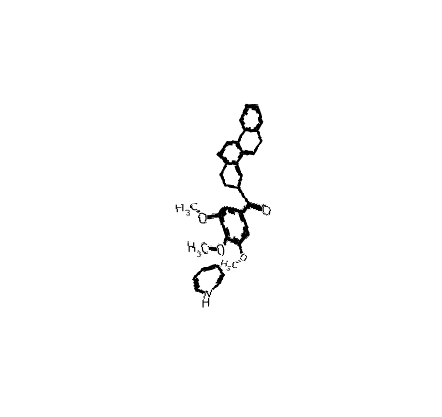 C1=CC=CNC=C1.COc1cc(C(=O)C2C=c3c(ccc4c3=CCc3ccccc3-4)CC2)cc(OC)c1OC